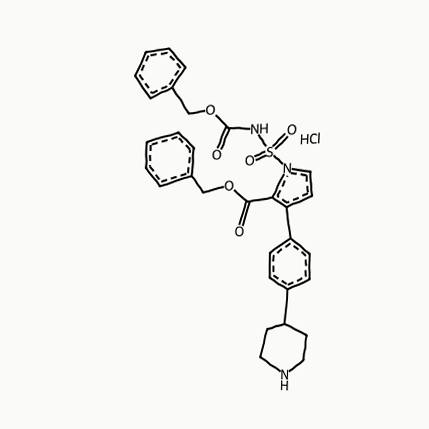 Cl.O=C(NS(=O)(=O)n1ccc(-c2ccc(C3CCNCC3)cc2)c1C(=O)OCc1ccccc1)OCc1ccccc1